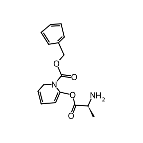 C[C@H](N)C(=O)OC1=CC=CCN1C(=O)OCc1ccccc1